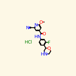 COc1cc(C(=O)Nc2ccc(C3CNCCO3)c(F)c2)cc(C#N)n1.Cl